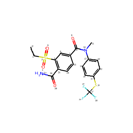 CCS(=O)(=O)c1cc(C(=O)N(C)c2ccc(SC(F)(F)F)cc2)ccc1C(N)=O